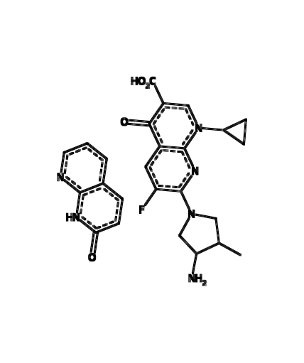 CC1CN(c2nc3c(cc2F)c(=O)c(C(=O)O)cn3C2CC2)CC1N.O=c1ccc2cccnc2[nH]1